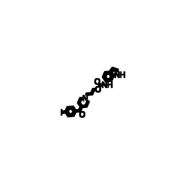 O=C(Nc1ccc2cc[nH]c2c1)OCCCN1CCC(C(=O)c2ccc(I)cc2)CC1